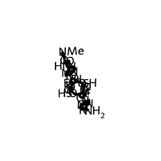 CNCCOC(=O)Nc1ncnc2c1ncn2[C@@H]1O[C@@H]2CO[P@@](=O)(S)O[C@@H]3C(CO[P@](=O)(S)O[C@H]2[C@H]1F)O[C@@H](n1cnc2c(N)ncnc21)[C@@H]3F